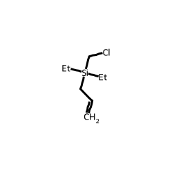 C=CC[Si](CC)(CC)CCl